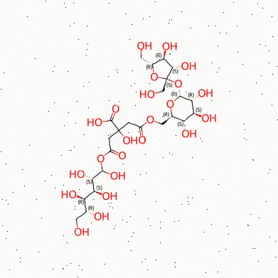 O=C(CC(O)(CC(=O)OC(O)[C@@H](O)[C@@H](O)[C@H](O)[C@H](O)CO)C(=O)O)OC[C@H]1O[C@H](O[C@]2(CO)O[C@H](CO)[C@@H](O)[C@@H]2O)[C@H](O)[C@@H](O)[C@@H]1O